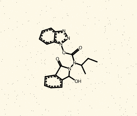 CCC(C)N(C(=O)On1nnc2ccccc21)N1C(=O)c2ccccc2C1O